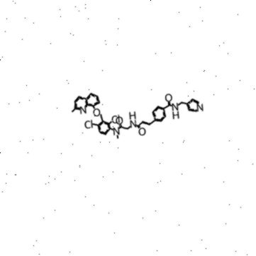 Cc1ccc2cccc(OCc3c(Cl)ccc(N(C)C(=O)CNC(=O)/C=C/c4ccc(C(=O)NCc5ccncc5)cc4)c3Cl)c2n1